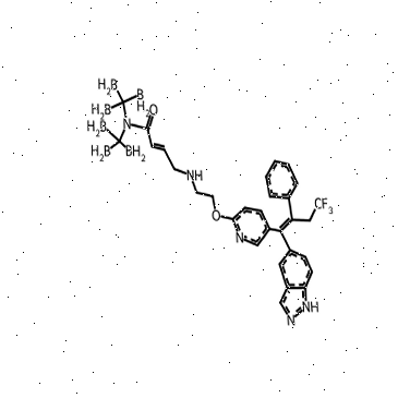 BC(B)(B)N(C(=O)/C=C/CNCCOc1ccc(/C(=C(/CC(F)(F)F)c2ccccc2)c2ccc3[nH]ncc3c2)cn1)C(B)(B)B